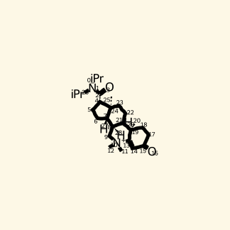 CC(C)N(C(=O)[C@H]1CC[C@H]2[C@@H]3C[N+](C)(C)C4=CC(=O)CC[C@]4(C)[C@H]3CC[C@]12C)C(C)C